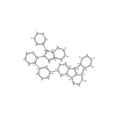 c1ccc(-n2c(-c3ccccc3-c3cccc(-c4ccc5c(c4)c4cccc6c7ccccc7n5c64)c3)nc3ccccc32)cc1